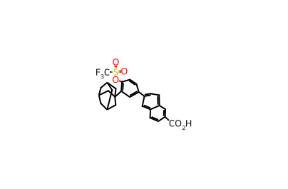 O=C(O)c1ccc2cc(-c3ccc(OS(=O)(=O)C(F)(F)F)c(C45CC6CC(CC(C6)C4)C5)c3)ccc2c1